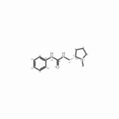 CN1CCC[C@H]1CNC(=O)Nc1ccccc1